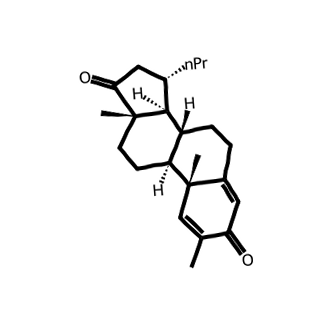 CCC[C@H]1CC(=O)[C@@]2(C)CC[C@H]3[C@@H](CCC4=CC(=O)C(C)=C[C@@]43C)[C@H]12